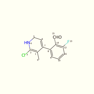 CC1=C(Cl)NCC=C1c1cccc(F)c1C=O